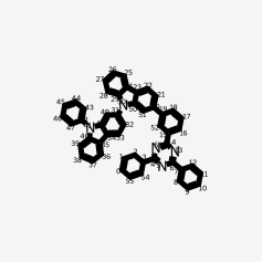 C1=CCC(c2nc(-c3ccccc3)nc(-c3cccc(-c4ccc5c6ccccc6n(-c6ccc7c8ccccc8n(-c8ccccc8)c7c6)c5c4)c3)n2)C=C1